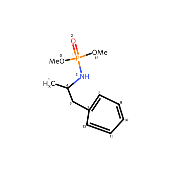 COP(=O)(NC(C)Cc1ccccc1)OC